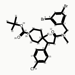 CN(Cc1cc(Br)cc(Br)c1)C(=O)CC(c1ccc(Cl)cc1)C1(F)CCN(C(=O)OC(C)(C)C)CC1